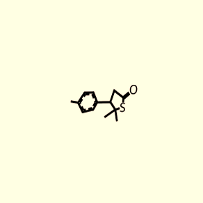 Cc1ccc(C2CC(=O)SC2(C)C)cc1